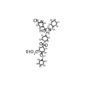 CCOC(=O)c1cc(S(=O)(=O)c2ccc(CCN(Cc3ccccc3)C[C@H](O)c3ccc(Cl)nc3)cc2)ccc1OCc1ccccc1